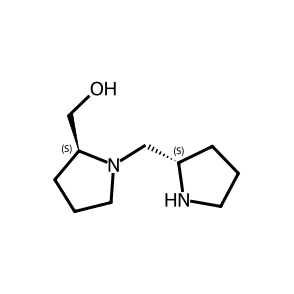 OC[C@@H]1CCCN1C[C@@H]1CCCN1